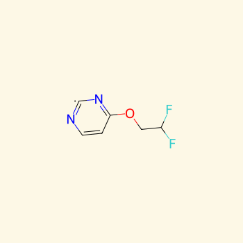 FC(F)COc1ccn[c]n1